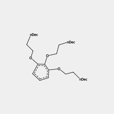 CCCCCCCCCCCCOc1cccc(OCCCCCCCCCCCC)c1OCCCCCCCCCCCC